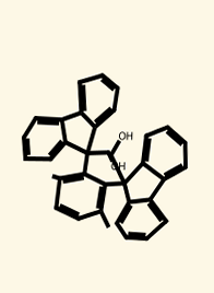 Cc1ccc(C)c(C2(CO)c3ccccc3-c3ccccc32)c1C1(CO)c2ccccc2-c2ccccc21